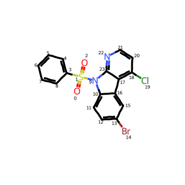 O=S(=O)(c1ccccc1)n1c2ccc(Br)cc2c2c(Cl)ccnc21